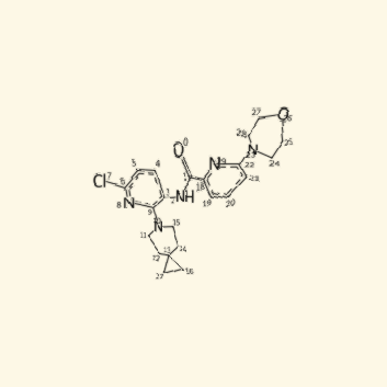 O=C(Nc1ccc(Cl)nc1N1CCC2(CC1)CC2)c1cccc(N2CCOCC2)n1